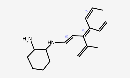 C=CC(/C=C\C)=C(/C=C/NC1CCCCC1N)C(=C)C